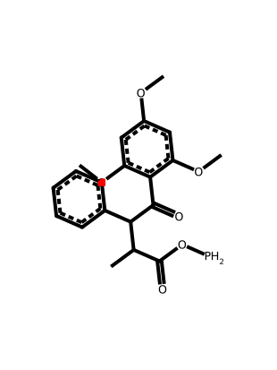 COc1cc(OC)c(C(=O)C(c2ccccc2)C(C)C(=O)OP)c(OC)c1